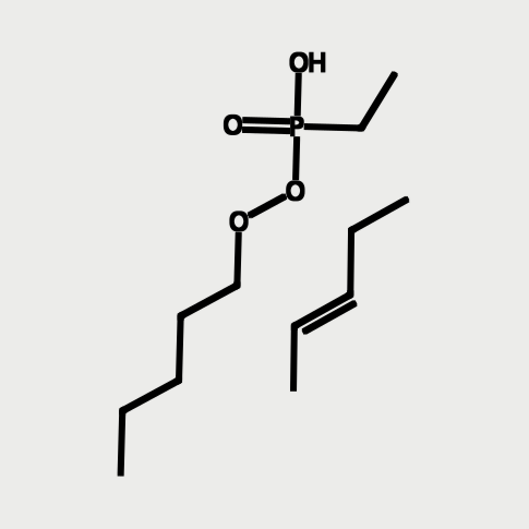 CC=CCC.CCCCCOOP(=O)(O)CC